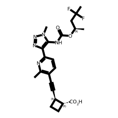 Cc1nc(-c2nnn(C)c2NC(=O)O[C@H](C)CC(C)(F)F)ccc1C#C[C@@H]1CC[C@H]1C(=O)O